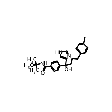 CC(C)(C)NC(=O)c1ccc(C(O)(CCCc2ccc(F)cc2)c2c[nH]cn2)cc1